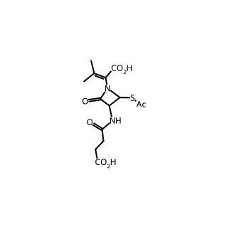 CC(=O)SC1C(NC(=O)CCC(=O)O)C(=O)N1C(C(=O)O)=C(C)C